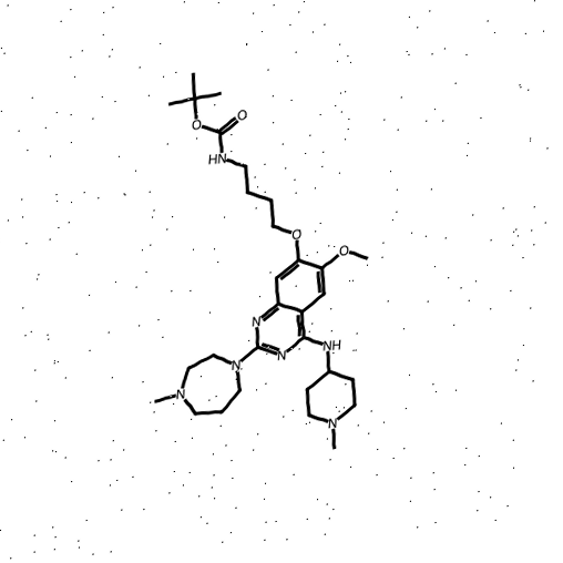 COc1cc2c(NC3CCN(C)CC3)nc(N3CCCN(C)CC3)nc2cc1OCCCCNC(=O)OC(C)(C)C